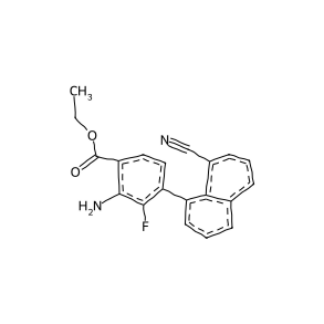 CCOC(=O)c1ccc(-c2cccc3cccc(C#N)c23)c(F)c1N